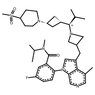 Cc1cncc2c1c(CC1CN([C@H](C(C)C)[C@H]3C[C@@H](N4CCC(S(C)(=O)=O)CC4)C3)C1)cn2-c1ccc(F)cc1C(=O)N(C)C(C)C